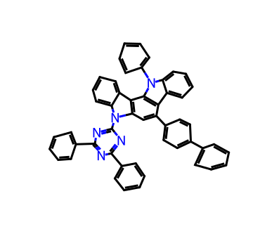 c1ccc(-c2ccc(-c3cc4c(c5ccccc5n4-c4nc(-c5ccccc5)nc(-c5ccccc5)n4)c4c3c3ccccc3n4-c3ccccc3)cc2)cc1